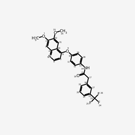 COc1cc2nccc(Oc3ccc(NC(=O)Cc4cccc(C(F)(F)F)c4)cc3)c2cc1OC